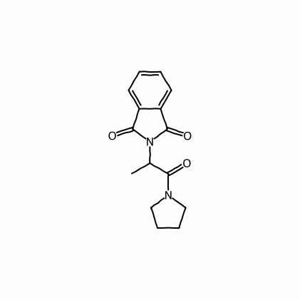 CC(C(=O)N1CCCC1)N1C(=O)c2ccccc2C1=O